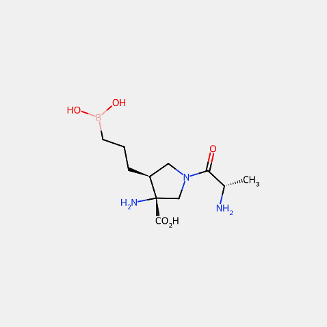 C[C@H](N)C(=O)N1C[C@H](CCCB(O)O)[C@](N)(C(=O)O)C1